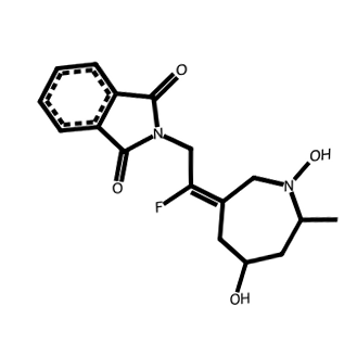 CC1CC(O)C/C(=C(\F)CN2C(=O)c3ccccc3C2=O)CN1O